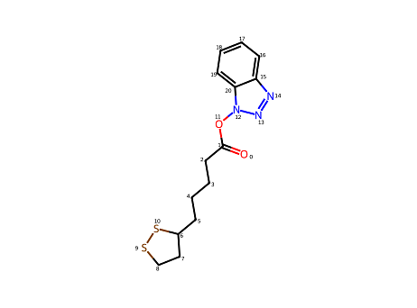 O=C(CCCCC1CCSS1)On1nnc2ccccc21